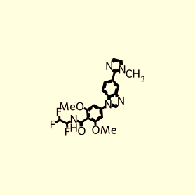 COc1cc(-n2cnc3cc(-c4nccn4C)ccc32)cc(OC)c1C(=O)NC(F)C(F)F